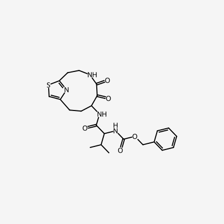 CC(C)C(NC(=O)OCc1ccccc1)C(=O)NC1CCc2csc(n2)CCNC(=O)C1=O